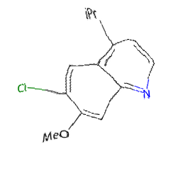 COc1cc2nccc(C(C)C)c2cc1Cl